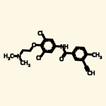 C#Cc1cc(C(=O)Nc2cc(Cl)c(OCCN(C)C)c(Cl)c2)ccc1C